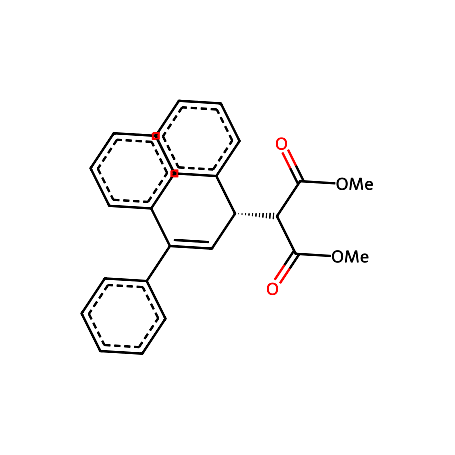 COC(=O)C(C(=O)OC)[C@H](C=C(c1ccccc1)c1ccccc1)c1ccccc1